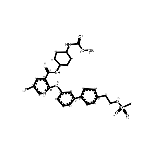 CC(C)(C)OC(=O)NC1CCC(NC(=O)c2cc(F)cnc2Oc2cccc(-c3ccc(CCOS(C)(=O)=O)cc3)c2)CC1